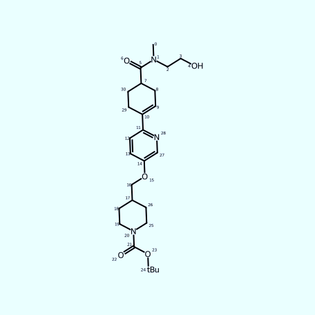 CN(CCO)C(=O)C1CC=C(c2ccc(OCC3CCN(C(=O)OC(C)(C)C)CC3)cn2)CC1